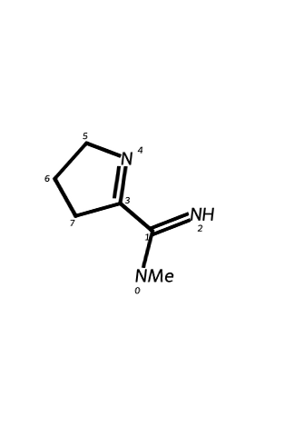 CNC(=N)C1=NCCC1